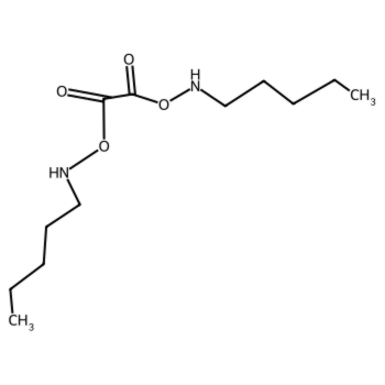 CCCCCNOC(=O)C(=O)ONCCCCC